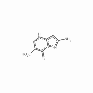 Nc1cc2[nH]cc(C(=O)O)c(=O)n2n1